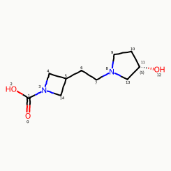 O=C(O)N1CC(CCN2CC[C@H](O)C2)C1